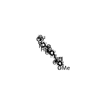 CC[C@H](C)OC(=O)Oc1ccc(C(=O)NS(=O)(=O)c2ccc(CCNC(=O)c3cc(OC)ccc3Cl)cc2)cn1